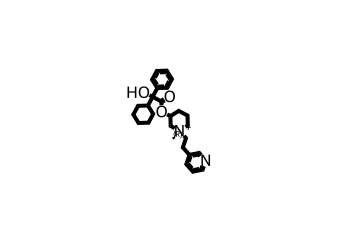 C[N@+]1(CCc2cccnc2)CCCC(OC(=O)C(O)(c2ccccc2)C2CCCCC2)C1